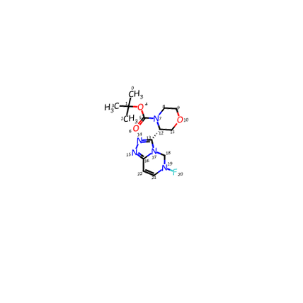 CC(C)(C)OC(=O)N1CCOC[C@@H]1c1nnc2n1CN(F)C=C2